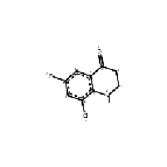 O=C1CCNc2c(Cl)cc(F)cc21